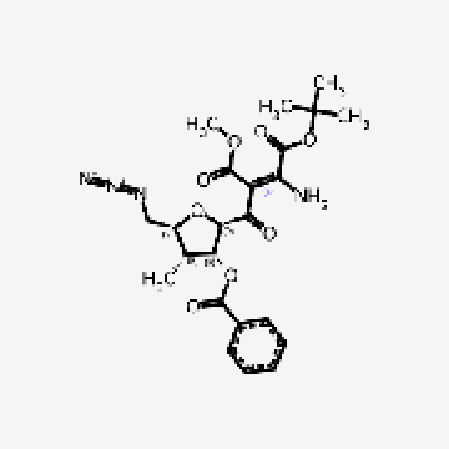 COC(=O)/C(C(=O)[C@@H]1O[C@H](CN=[N+]=[N-])[C@@H](C)[C@H]1OC(=O)c1ccccc1)=C(/N)C(=O)OC(C)(C)C